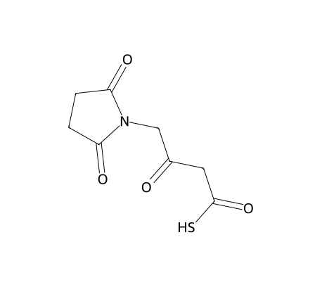 O=C(S)CC(=O)CN1C(=O)CCC1=O